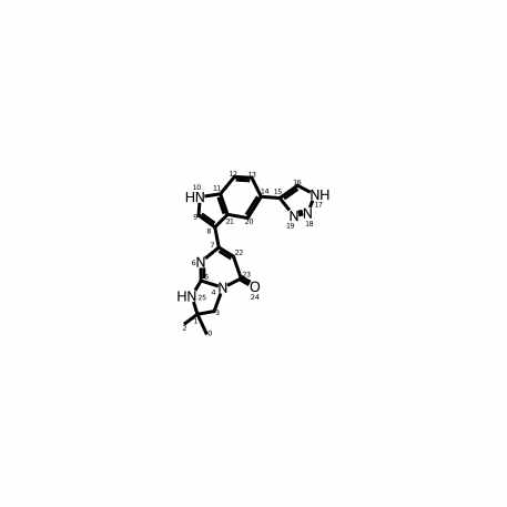 CC1(C)Cn2c(nc(-c3c[nH]c4ccc(-c5c[nH]nn5)cc34)cc2=O)N1